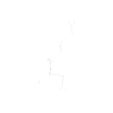 CCOCNN(C)CC